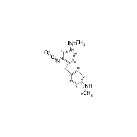 CNc1ccc(Cc2ccc(NC)cc2N=C=O)cc1